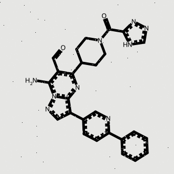 Nc1c(C=O)c(C2CCN(C(=O)c3nnc[nH]3)CC2)nc2c(-c3ccc(-c4ccccc4)nc3)cnn12